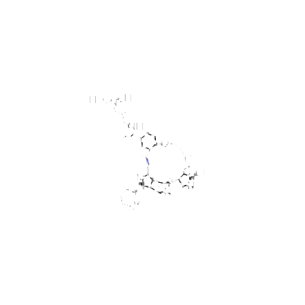 CN(C)CCCNC(=O)c1ccc2c(c1)/C=C/c1nn(C3CCCCO3)c3cnc(cc13)-c1cnn(C)c1OCCCO2